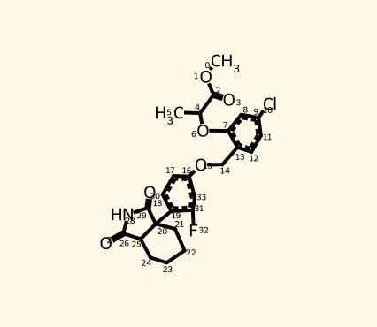 COC(=O)C(C)Oc1cc(Cl)ccc1COc1ccc(C23CCCCC2C(=O)NC3=O)c(F)c1